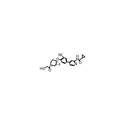 N#Cc1cc(-c2ccnc(NC(=O)C3CC3)c2)ccc1O[C@H]1CCN(C(=O)CO)C[C@H]1F